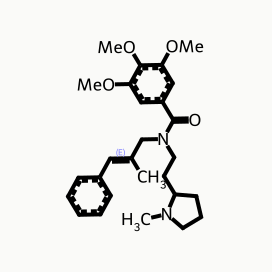 COc1cc(C(=O)N(CCC2CCCN2C)C/C(C)=C/c2ccccc2)cc(OC)c1OC